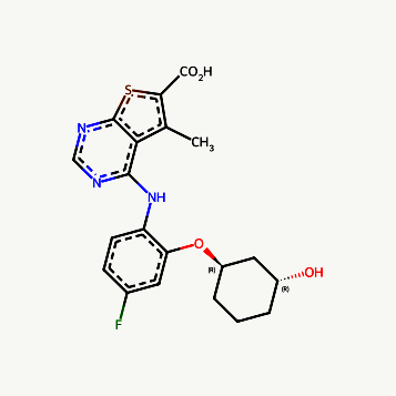 Cc1c(C(=O)O)sc2ncnc(Nc3ccc(F)cc3O[C@@H]3CCC[C@@H](O)C3)c12